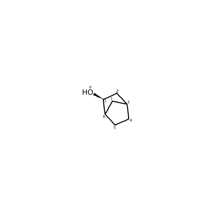 O[C@H]1CC2CCC1C2